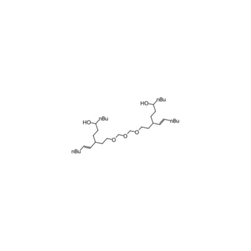 CCCCC=CC(CCOCOCOCCC(C=CCCCC)CCC(O)CCCC)CCC(O)CCCC